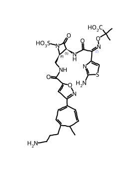 CC1C=CC(c2cc(C(=O)NC[C@@H]3[C@H](NC(=O)/C(=N\OC(C)(C)C(=O)O)c4csc(N)n4)C(=O)N3S(=O)(=O)O)on2)=CC=C1CCCN